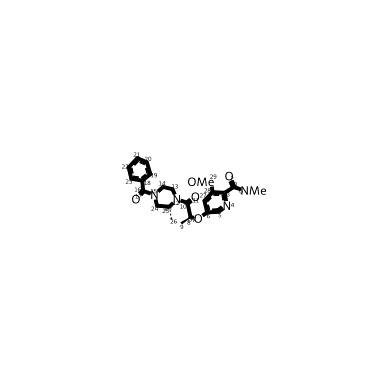 CNC(=O)c1ncc(O[C@@H](C)C(=O)N2CCN(C(=O)c3ccccc3)C[C@H]2C)cc1OC